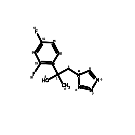 CC(O)(Cn1cnnn1)c1ccc(F)cc1F